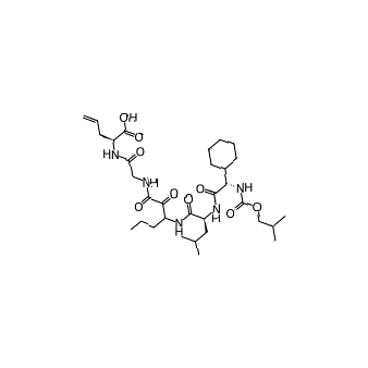 C=CC[C@H](NC(=O)CNC(=O)C(=O)C(CCC)NC(=O)[C@H](CC(C)C)NC(=O)[C@@H](NC(=O)OCC(C)C)C1CCCCC1)C(=O)O